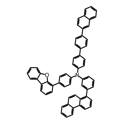 c1cc(-c2cccc3c2ccc2ccccc23)cc(N(c2ccc(-c3ccc(-c4ccc5ccccc5c4)cc3)cc2)c2ccc(-c3cccc4c3oc3ccccc34)cc2)c1